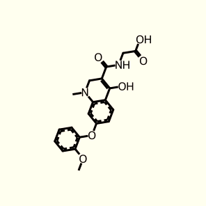 COc1ccccc1Oc1ccc2c(c1)N(C)CC(C(=O)NCC(=O)O)=C2O